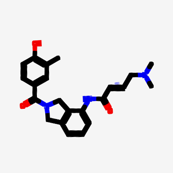 Cc1cc(C(=O)N2Cc3cccc(NC(=O)/C=C/CN(C)C)c3C2)ccc1O